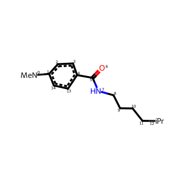 CNc1ccc(C(=O)NCCCCC(C)C)cc1